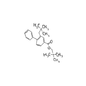 CC(C)(C)COC(=O)c1ccc(-c2ccccc2)c(CC(C)(C)C)c1